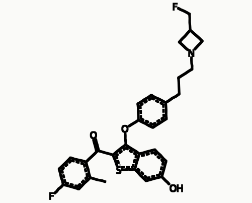 Cc1cc(F)ccc1C(=O)c1sc2cc(O)ccc2c1Oc1ccc(CCCN2CC(CF)C2)cc1